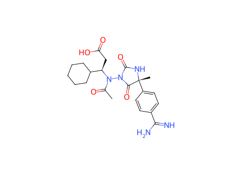 CC(=O)N([C@H](CC(=O)O)C1CCCCC1)N1C(=O)N[C@](C)(c2ccc(C(=N)N)cc2)C1=O